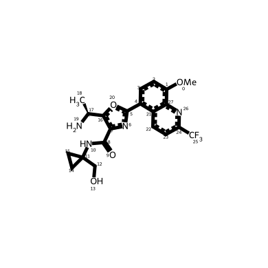 COc1ccc(-c2nc(C(=O)NC3(CO)CC3)c([C@H](C)N)o2)c2ccc(C(F)(F)F)nc12